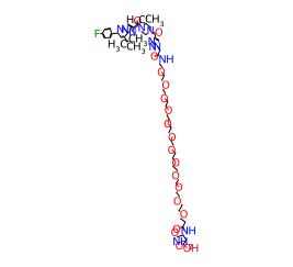 CC(C)(C)c1cc(-c2ccc(F)cc2)nn2cc(C(=O)N3CCN(C(=O)c4cn(CC(=O)NCCOCCOCCOCCOCCOCCOCCOCCOCCOCCOCCOCCOCCC(=O)NC(CC(=O)O)C(N)=O)nn4)CC3(C)C)nc12